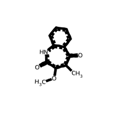 COc1c(C)c(=O)c2ccccc2[nH]c1=O